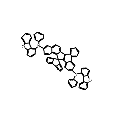 c1ccc(N(c2ccc3c4c(ccc3c2)-c2c(c3ccc(N(c5ccccc5)c5cccc6oc7ccccc7c56)cc3c3ccccc23)C42c3ccccc3-c3ccccc32)c2cccc3oc4ccccc4c23)cc1